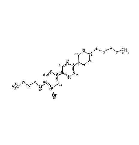 CCCCCC1CCC(c2ncc(-c3ccc(OCCCC)c(Br)c3)cn2)CC1